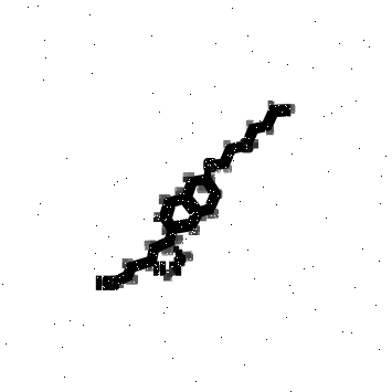 C=CCCOCCO[C@@H]1CCc2cc([C@H](CN)CCCCO)ccc2C1